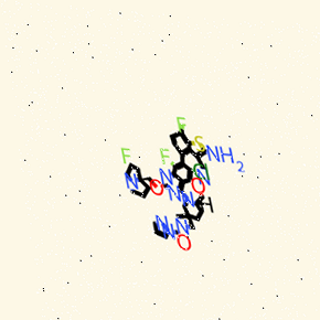 N#Cc1c(N)sc2c(F)ccc(-c3c(Cl)c4c5c(nc(OC[C@@]67CCCN6C[C@H](F)C7)nc5c3F)N3CC5(CC[C@H]3CO4)CN(C(=O)n3cccn3)C5)c12